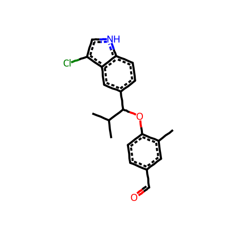 Cc1cc(C=O)ccc1OC(c1ccc2[nH]cc(Cl)c2c1)C(C)C